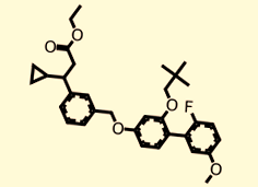 CCOC(=O)CC(c1cccc(COc2ccc(-c3cc(OC)ccc3F)c(OCC(C)(C)C)c2)c1)C1CC1